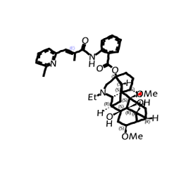 CCN1C[C@]2(OC(=O)c3ccccc3NC(=O)/C(C)=C/c3cccc(C)n3)CC[C@H](OC)[C@]34C1[C@@H](C[C@H]23)[C@@]1(O)C[C@H](OC)C2[C@H]3C[C@@H]4[C@]1(O)[C@@H]23